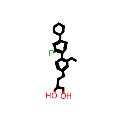 CCc1cc(CCC(CO)CO)ccc1-c1ccc(C2CCCCC2)cc1F